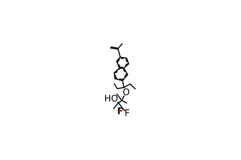 C=C(C)c1ccc2cc(C(CC)(CC)OC(C)(C)C(C)(O)C(F)(F)F)ccc2c1